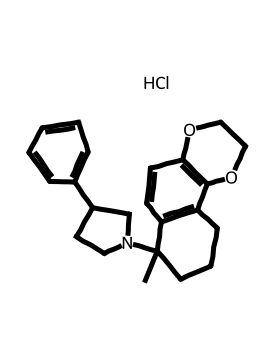 CC1(N2CCC(c3ccccc3)C2)CCCc2c1ccc1c2OCCO1.Cl